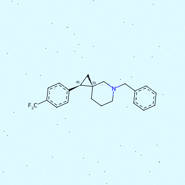 FC(F)(F)c1ccc([C@H]2C[C@@]23CCCN(Cc2ccccc2)C3)cc1